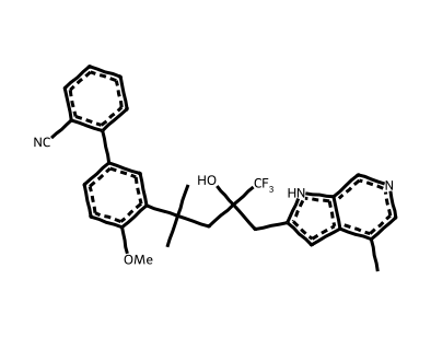 COc1ccc(-c2ccccc2C#N)cc1C(C)(C)CC(O)(Cc1cc2c(C)cncc2[nH]1)C(F)(F)F